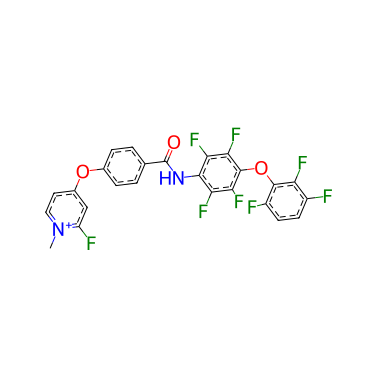 C[n+]1ccc(Oc2ccc(C(=O)Nc3c(F)c(F)c(Oc4c(F)ccc(F)c4F)c(F)c3F)cc2)cc1F